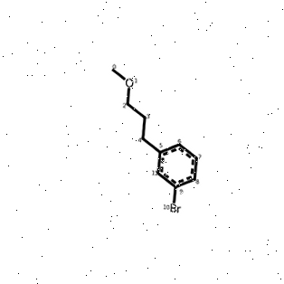 COCCCc1cccc(Br)c1